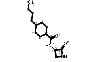 CCCCC1CCC(C(=O)N[C@H]2CNC2=O)CC1